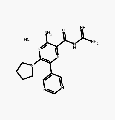 Cl.N=C(N)NC(=O)c1nc(-c2cncnc2)c(N2CCCC2)nc1N